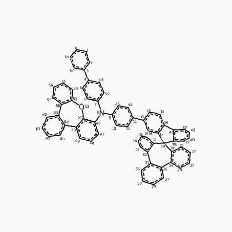 c1ccc(-c2ccc(N(c3ccc(-c4ccc5c(c4)C4(c6ccccc6-c6ccccc6-c6ccccc64)c4ccccc4-5)cc3)c3cccc4c3Oc3ccccc3-c3ccccc3-4)cc2)cc1